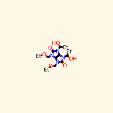 CCOCN1C(=O)N(C(O)CC)C2C1N(COCC)C(=O)N2C(O)CC